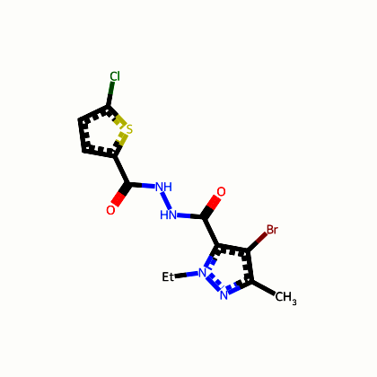 CCn1nc(C)c(Br)c1C(=O)NNC(=O)c1ccc(Cl)s1